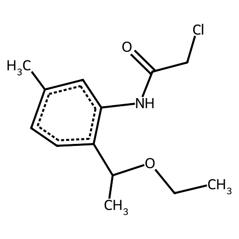 CCOC(C)c1ccc(C)cc1NC(=O)CCl